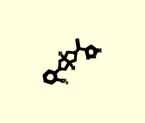 O=C(c1c[nH]nn1)N1C[C@@H]2CN(c3ccccc3C(F)(F)F)C[C@@H]2C1